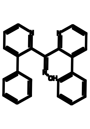 ON=C(c1ncccc1-c1ccccc1)c1ncccc1-c1ccccc1